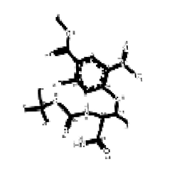 COC(=O)c1cc([N+](=O)[O-])c(SC(C)C(NC(=O)OC(C)(C)C)C(=O)O)cc1F